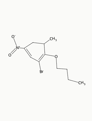 CCCCOC1=C(Br)C=C([N+](=O)[O-])CC1C